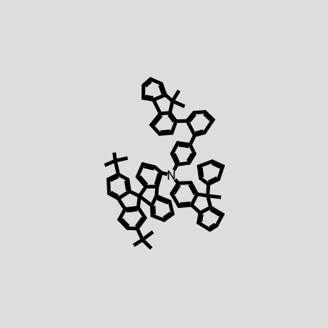 CC(C)(C)c1ccc2c(c1)C1(c3cc(C(C)(C)C)ccc3-2)c2ccccc2-c2c(N(c3ccc(-c4ccccc4-c4cccc5c4C(C)(C)c4ccccc4-5)cc3)c3ccc4c(c3)C(C)(c3ccccc3)c3ccccc3-4)cccc21